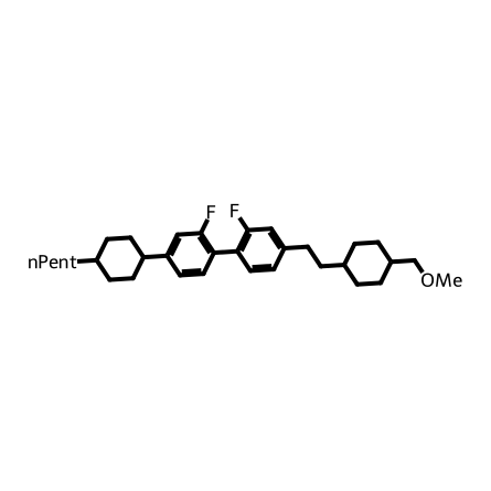 CCCCCC1CCC(c2ccc(-c3ccc(CCC4CCC(COC)CC4)cc3F)c(F)c2)CC1